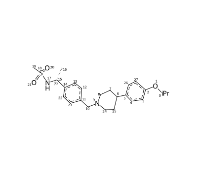 CC(C)Oc1ccc(C2CCN(Cc3ccc([C@@H](C)NS(C)(=O)=O)cc3)CC2)cc1